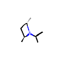 CC(C)N1[C@@H](C)C[C@@H]1C